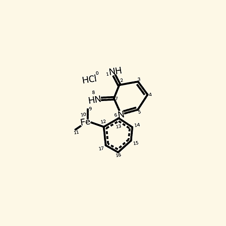 Cl.N=C1C=CC=NC1=N.[CH3][Fe]([CH3])[c]1ccccc1